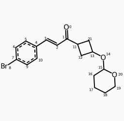 O=C(C=Cc1ccc(Br)cc1)C1CC(OC2CCCCO2)C1